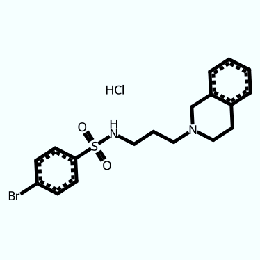 Cl.O=S(=O)(NCCCN1CCc2ccccc2C1)c1ccc(Br)cc1